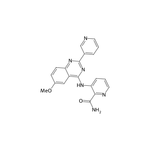 COc1ccc2nc(-c3cccnc3)nc(Nc3cccnc3C(N)=O)c2c1